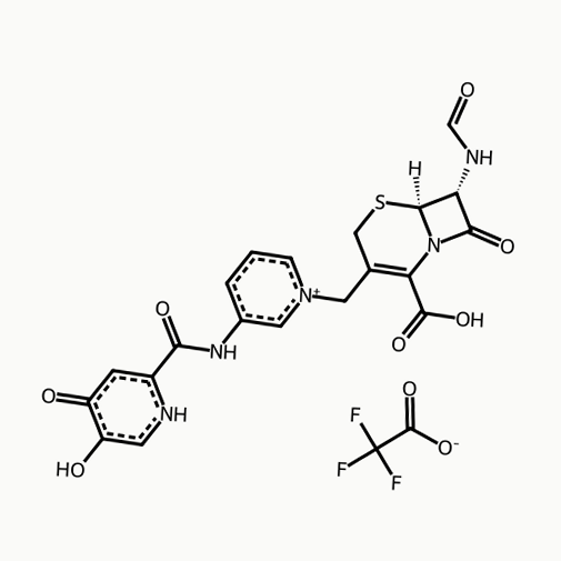 O=C([O-])C(F)(F)F.O=CN[C@@H]1C(=O)N2C(C(=O)O)=C(C[n+]3cccc(NC(=O)c4cc(=O)c(O)c[nH]4)c3)CS[C@@H]12